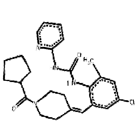 Cc1cc(Cl)cc(C=C2CCN(C(=O)C3CCCC3)CC2)c1NC(=O)Nc1ccccn1